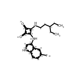 CCC(CC)CCNc1c(Nc2c[nH]c3ccc(F)cc23)c(=O)c1=O